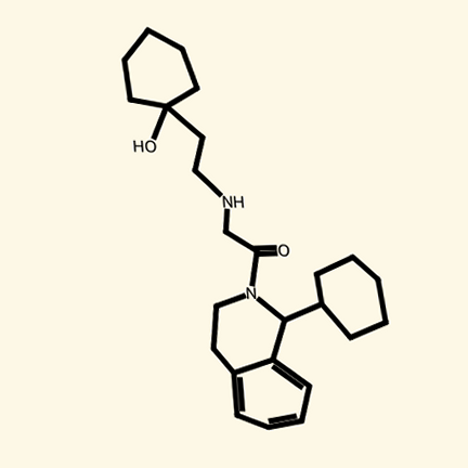 O=C(CNCCC1(O)CCCCC1)N1CCc2ccccc2C1C1CCCCC1